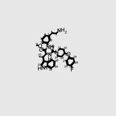 COc1ccc(CCN)cc1NC(=O)[C@H](NC(=O)N1CCC(Oc2ccc(F)cc2)CC1)[C@H](C)c1c[nH]c2ccccc12